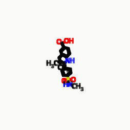 CNS(=O)(=O)c1ccc(C2Nc3ccc(C(=O)O)cc3CC2(C)C)cc1